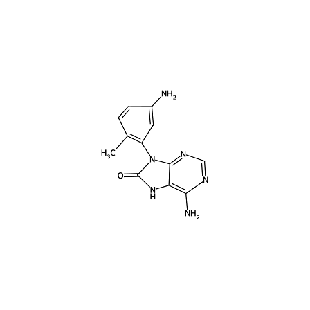 Cc1ccc(N)cc1-n1c(=O)[nH]c2c(N)ncnc21